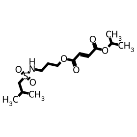 CC(C)CS(=O)(=O)NCCCOC(=O)/C=C/C(=O)OC(C)C